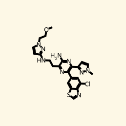 COCCn1ccc(NCCc2nc(-c3cc(Cl)c4ncsc4c3)c(-c3ccn(C)n3)nc2N)n1